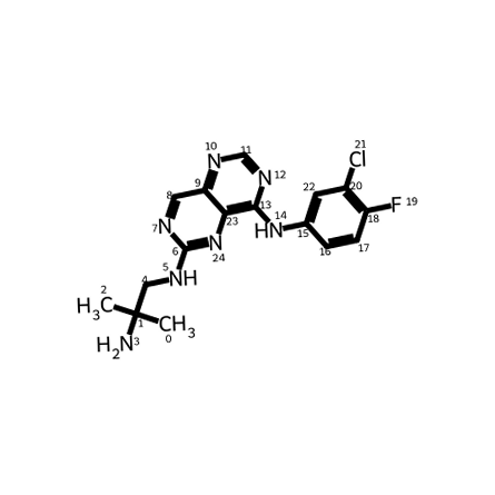 CC(C)(N)CNc1ncc2ncnc(Nc3ccc(F)c(Cl)c3)c2n1